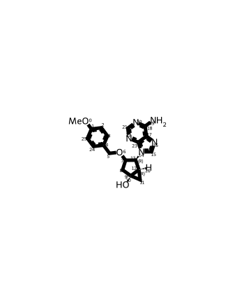 COc1ccc(COC2C[C@]3(O)C[C@@H]3[C@H]2n2cnc3c(N)ncnc32)cc1